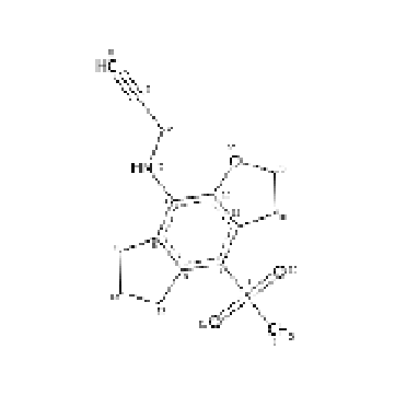 C#CCNc1c2c(c(S(C)(=O)=O)c3c1OCC3)CCC2